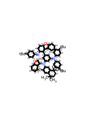 Cc1cc2c(cc1N1c3cc(N(c4ccc(C(C)(C)C)cc4)c4ccc(C(C)(C)C)cc4)cc4c3B(c3oc5ccccc5c31)N(c1ccc(C(C)(C)C)cc1)c1ccc3oc5ccccc5c3c1-4)C(C)(C)CCC2(C)C